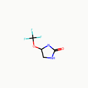 O=C1[N]C(OC(F)(F)F)CN1